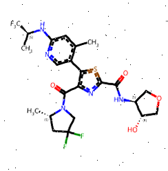 Cc1cc(N[C@@H](C)C(F)(F)F)ncc1-c1sc(C(=O)N[C@H]2COC[C@@H]2O)nc1C(=O)N1CC(F)(F)C[C@@H]1C